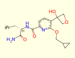 CC(C)C[C@H](NC(=O)c1ccc(C2(O)COC2)c(OCC2CC2)n1)C(N)=O